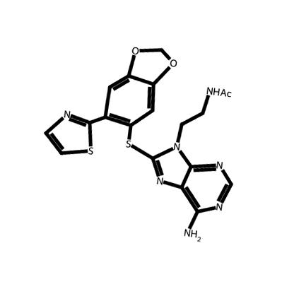 CC(=O)NCCn1c(Sc2cc3c(cc2-c2nccs2)OCO3)nc2c(N)ncnc21